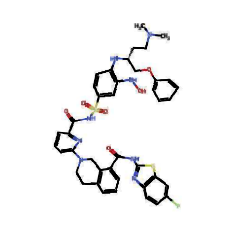 CN(C)CC[C@H](COc1ccccc1)Nc1ccc(S(=O)(=O)NC(=O)c2cccc(N3CCc4cccc(C(=O)Nc5nc6ccc(F)cc6s5)c4C3)n2)cc1NO